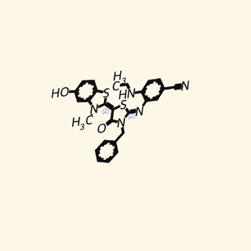 CCNc1ccc(C#N)cc1/N=C1\S/C(=C2\Sc3ccc(O)cc3N2C)C(=O)N1Cc1ccccc1